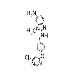 Cn1c(NCc2ccc(Oc3cc(Cl)ncn3)cc2)nc2ccc(N)cc21